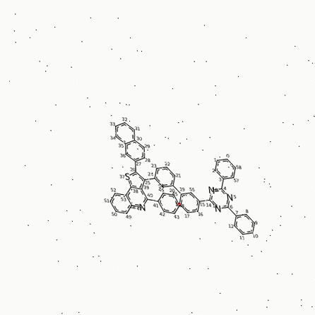 c1ccc(-c2nc(-c3ccccc3)nc(-c3cccc(-c4cccc(-c5c(-c6ccc7ccccc7c6)sc6c5c(-c5ccccc5)nc5ccccc56)c4)c3)n2)cc1